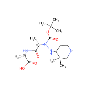 C[C@H](NC(=O)[C@H](C)N(NC1CC[N]CC1(C)C)C(=O)OC(C)(C)C)C(=O)O